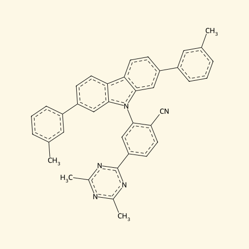 Cc1cccc(-c2ccc3c4ccc(-c5cccc(C)c5)cc4n(-c4cc(-c5nc(C)nc(C)n5)ccc4C#N)c3c2)c1